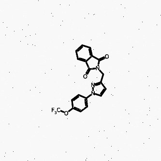 O=C1c2ccccc2C(=O)N1Cc1ccn(-c2ccc(OC(F)(F)F)cc2)n1